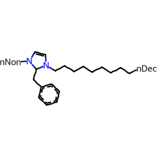 CCCCCCCCCCCCCCCCCCCN1C=CN(CCCCCCCCC)C1Cc1ccccc1